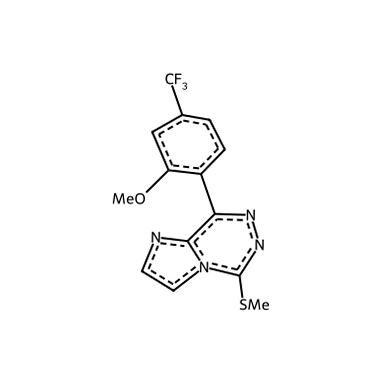 COc1cc(C(F)(F)F)ccc1-c1nnc(SC)n2ccnc12